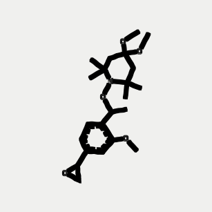 COc1cc(C2CO2)ccc1C(C)ON1C(C)(C)CC(OC)(OC)CC1(C)C